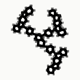 c1ccc2c(c1)oc1cc3c4ccccc4n(-c4ccc(-c5ccc6nc(-c7ccc(-n8c9ccccc9c9cc%10oc%11ccccc%11c%10cc98)cc7)nc(-c7ccc(-n8c9ccccc9c9cc%10oc%11ccccc%11c%10cc98)cc7)c6c5)cc4)c3cc12